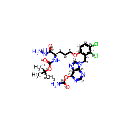 CC(C)(C)OC(=O)N[C@H](CCCOc1ccc(Cl)c(Cl)c1Cn1cnc2c(OC(N)=O)ncnc21)C(=O)NN